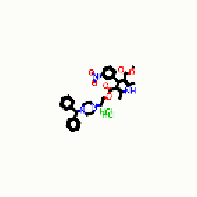 COC(=O)C1=C(C)NC(C)=C(C(=O)OCCN2CCN(C(c3ccccc3)c3ccccc3)CC2)C1c1cccc([N+](=O)[O-])c1.Cl.Cl